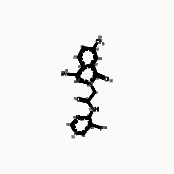 CC(C)c1nn(CC(=O)Nc2ncncc2F)c(=O)c2cc(C(F)(F)F)ccc12